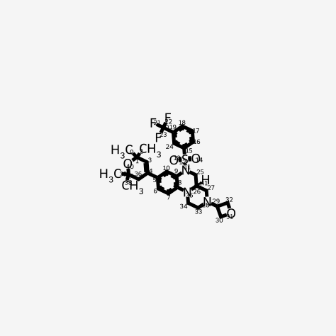 CC1(C)C=C(c2ccc3c(c2)N(S(=O)(=O)c2cccc(C(F)(F)F)c2)C[C@@H]2CN(C4COC4)CCN32)CC(C)(C)O1